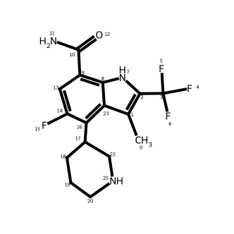 Cc1c(C(F)(F)F)[nH]c2c(C(N)=O)cc(F)c(C3CCCNC3)c12